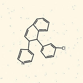 Clc1cccc(C2c3ccccc3C=CC2c2ccncc2)c1